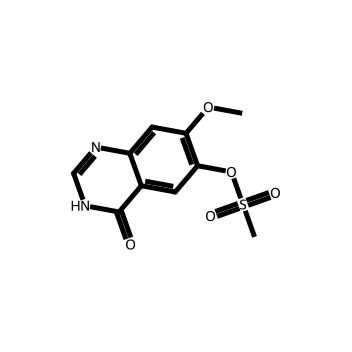 COc1cc2nc[nH]c(=O)c2cc1OS(C)(=O)=O